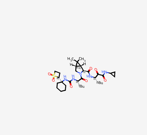 CCCC[C@H](NC(=O)[C@@H]1[C@@H]2[C@H](CN1C(=O)[C@@H](NC(=O)NC1([C@H]3CCS3(=O)=O)CCCCC1)C(C)(C)C)C2(C)C)C(=O)C(=O)NC1CC1